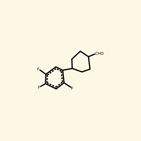 O=CC1CCC(c2cc(F)c(F)cc2F)CC1